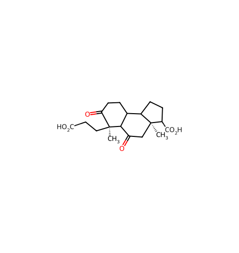 C[C@]12CC(=O)C3C(CCC(=O)[C@]3(C)CCC(=O)O)C1CCC2C(=O)O